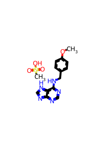 COc1ccc(CNc2ncnc3nc[nH]c23)cc1.CS(=O)(=O)O